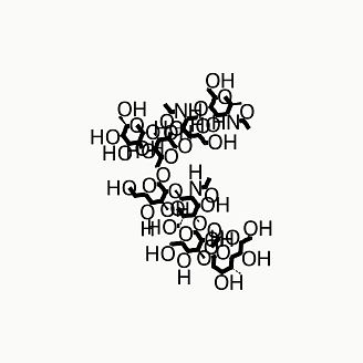 CC(=O)NC1C(O)[C@H](O[C@@H]2OC(CO)[C@H](O)[C@H](O[C@]3(OC=O)C[C@@H](O)[C@@H](C)C([C@H](O)[C@H](O)CO)O3)C2O)[C@H](CO)O[C@H]1OC1[C@@H](OCC2O[C@@H](O[C@@H]3C(CO)O[C@@H](O[C@@H]4C(CO)O[C@@H](C)C(NC(C)=O)[C@H]4O)C(NC(C)=O)[C@H]3O)C(O)[C@@H](O[C@H]3O[C@H](CO)[C@@H](O)C(O)C3O)[C@@H]2O)OC(CO)[C@@H](O)[C@@H]1O